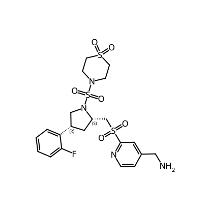 NCc1ccnc(S(=O)(=O)C[C@@H]2C[C@H](c3ccccc3F)CN2S(=O)(=O)N2CCS(=O)(=O)CC2)c1